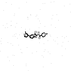 Cc1cc(-c2ccc3nc(NC(=O)C4CCN(C)CC4)c(Cl)n3c2)ccn1